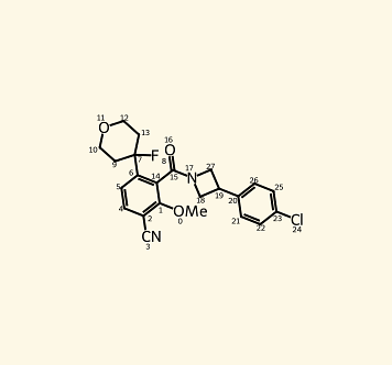 COc1c(C#N)ccc(C2(F)CCOCC2)c1C(=O)N1CC(c2ccc(Cl)cc2)C1